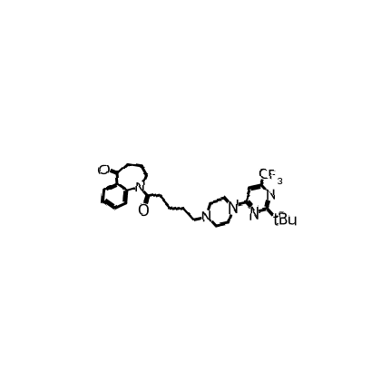 CC(C)(C)c1nc(N2CCN(CCCCC(=O)N3CCCC(=O)c4ccccc43)CC2)cc(C(F)(F)F)n1